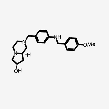 COc1ccc(CNc2ccc(CN3CCN4C[C@H](O)C[C@@H]4C3)cc2)cc1